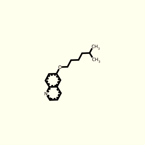 CC(C)CCCCOc1ccc2ncccc2c1